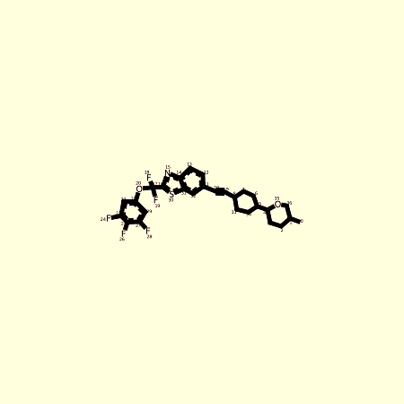 CC1CCC(C2CCC(C#Cc3ccc4nc(C(F)(F)Oc5cc(F)c(F)c(F)c5)sc4c3)CC2)OC1